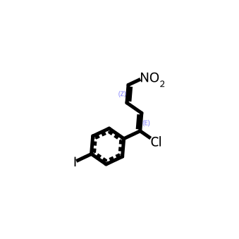 O=[N+]([O-])/C=C\C=C(\Cl)c1ccc(I)cc1